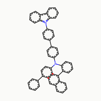 c1ccc(-c2ccc(N(c3ccc(-c4ccc(-n5c6ccccc6c6ccccc65)cc4)cc3)c3ccccc3-c3cccc4ccccc34)cc2)cc1